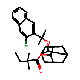 CCC(C)(C)C(=O)OC1C2CC3CC1CC(C2)C3OC(C)(C)c1cc2ccccc2cc1Br